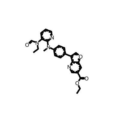 CCOC(=O)c1cnc2c(-c3ccc(N(C)c4ncccc4N(C=O)CC)cc3)coc2c1